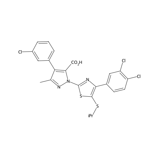 Cc1nn(-c2nc(-c3ccc(Cl)c(Cl)c3)c(SC(C)C)s2)c(C(=O)O)c1-c1cccc(Cl)c1